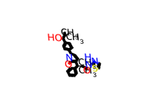 CC(C)C(O)c1ccc(-c2ccc3c(n2)Oc2ccccc2[C@@H]3C(C)(C)C(=O)Nc2nccs2)cc1